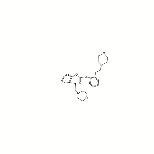 O=C(Oc1ccccc1CCN1CCOCC1)Oc1ccccc1CCN1CCOCC1